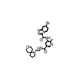 Cc1ncc(C(=O)NCCN2CCCC23CCOCC3)cc1NC(=O)c1nnc2cc(Br)ccn12